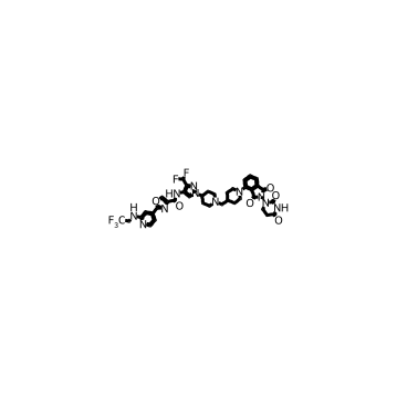 O=C1CCN(N2C(=O)c3cccc(N4CCC(CN5CCC(n6cc(NC(=O)c7coc(-c8ccnc(NCC(F)(F)F)c8)n7)c(C(F)F)n6)CC5)CC4)c3C2=O)C(=O)N1